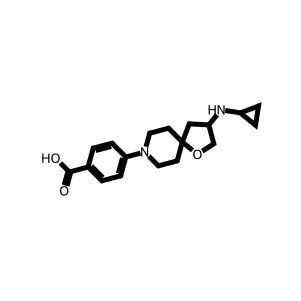 O=C(O)c1ccc(N2CCC3(CC2)CC(NC2CC2)CO3)cc1